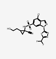 N#CC1(NS(=O)(=O)c2cc(Cl)c3cnn(-c4nnc(C(F)F)s4)c3c2)CC1CCO